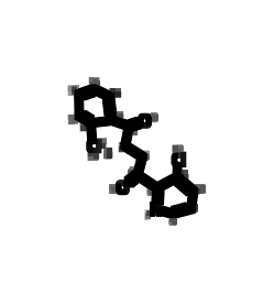 O=C(CCC(=O)c1ncccc1Cl)c1ccccc1C(F)(F)F